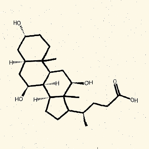 C[C@H](CCC(=O)O)C1CC[C@H]2[C@@H]3C(C[C@@H](O)C12C)C1(C)CC[C@@H](O)C[C@@H]1C[C@@H]3O